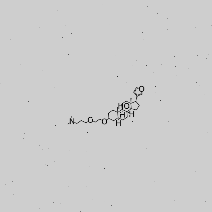 CN(C)CCCOCCO[C@H]1CC[C@@]2(C)[C@H](CC[C@@H]3[C@@H]2CC[C@]2(C)[C@@H](c4ccoc4)CC[C@]32O)C1